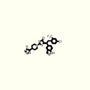 O=C1N=C(N2CCC(c3nnn[nH]3)CC2)SC1=C(Cc1ccc(Cl)cc1C(F)(F)F)c1ccc2[nH]ncc2c1